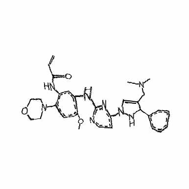 C=CC(=O)Nc1cc(Nc2nccc(N3C=C(CN(C)C)C(c4ccccc4)N3)n2)c(OC)cc1N1CCOCC1